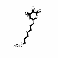 CCCCCCCCCCCCCCCCC[C@@H]1CC(=O)C(=O)C(=O)O1